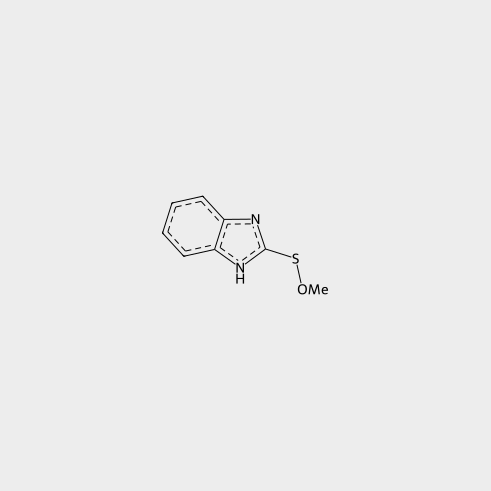 COSc1nc2ccccc2[nH]1